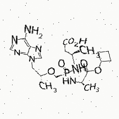 C[C@H](CC(=O)O)N[P@](=O)(CO[C@H](C)Cn1cnc2c(N)ncnc21)N[C@H](C)C(=O)OC1CCC1